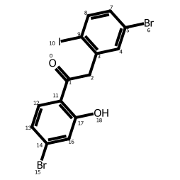 O=C(Cc1cc(Br)ccc1I)c1ccc(Br)cc1O